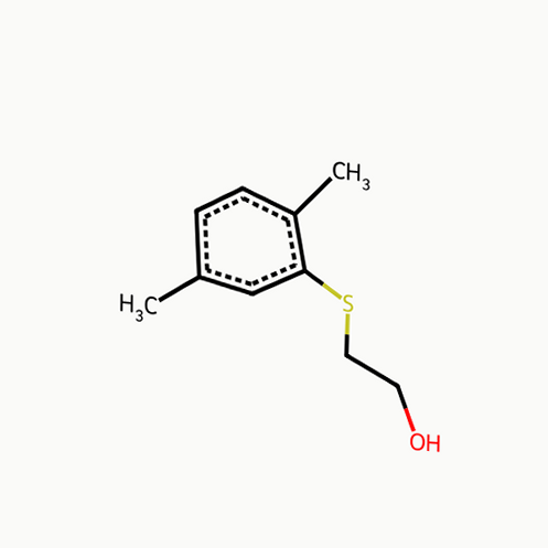 Cc1ccc(C)c(SCCO)c1